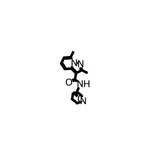 Cc1nn2c(C)cccc2c1C(=O)NC1CN2CCC1CC2